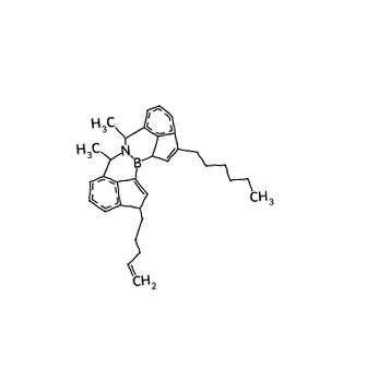 C=CCCCC1C=C2B3C4C=C(CCCCCC)c5cccc(c54)C(C)N3C(C)c3cccc1c32